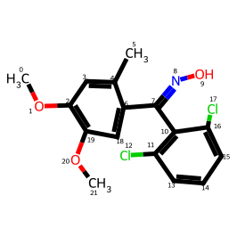 COc1cc(C)c(C(=NO)c2c(Cl)cccc2Cl)cc1OC